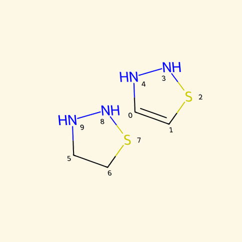 C1=CSNN1.C1CSNN1